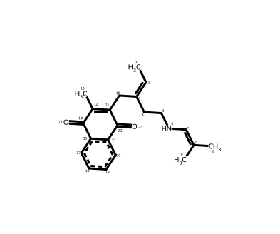 C/C=C(/CCNC=C(C)C)CC1=C(C)C(=O)c2ccccc2C1=O